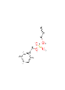 C=CCOS(=O)(=O)OCc1ccccc1